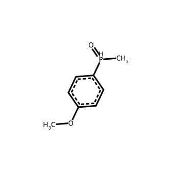 COc1ccc([PH](C)=O)cc1